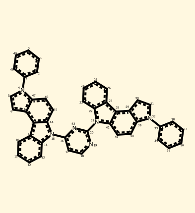 c1ccc(-n2ccc3c4c5ccccc5n(-c5ccnc(-n6c7ccccc7c7c8ccn(-c9ccccc9)c8ccc76)n5)c4ccc32)cc1